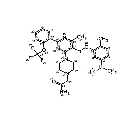 Cc1ccc(C(C)C)cc1OCc1c(C)nc(-c2ccccc2OC(F)(F)F)nc1N1CCN(CC(N)=O)CC1